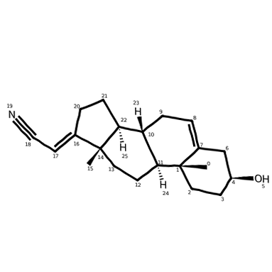 C[C@]12CC[C@H](O)CC1=CC[C@@H]1[C@@H]2CC[C@]2(C)C(=CC#N)CC[C@@H]12